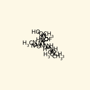 Cc1ncc(Oc2nc(N3C[C@H]4C[C@@H]3C[C@H]4NC(=O)OC(C)(C)C)c3c(n2)[nH]c2c(N(C)C(=O)OCO)cc(F)cc23)cn1